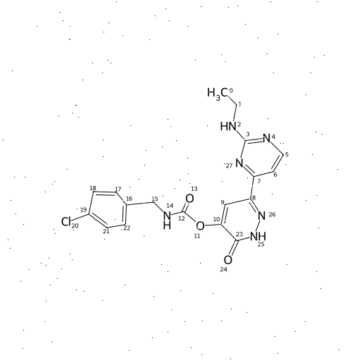 CCNc1nccc(-c2cc(OC(=O)NCc3ccc(Cl)cc3)c(=O)[nH]n2)n1